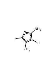 Cc1c(Cl)c(N)nn1I